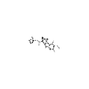 Cc1nc2sc3c(NCc4ccco4)n[nH]c3c2c(C)c1CI